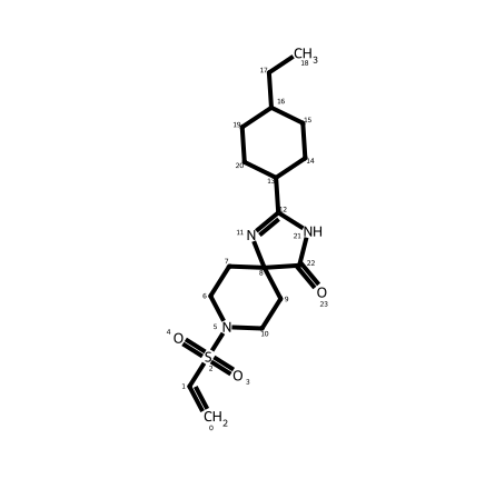 C=CS(=O)(=O)N1CCC2(CC1)N=C(C1CCC(CC)CC1)NC2=O